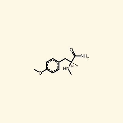 CN[C@@](C)(Cc1ccc(OC)cc1)C(N)=O